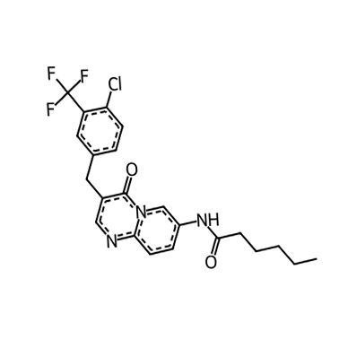 CCCCCC(=O)Nc1ccc2ncc(Cc3ccc(Cl)c(C(F)(F)F)c3)c(=O)n2c1